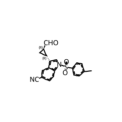 Cc1ccc(S(=O)(=O)n2cc([C@@H]3C[C@H]3C=O)c3cc(C#N)ccc32)cc1